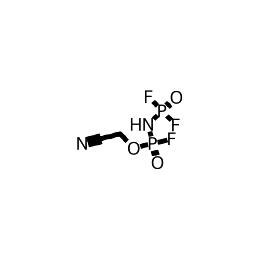 N#CCOP(=O)(F)NP(=O)(F)F